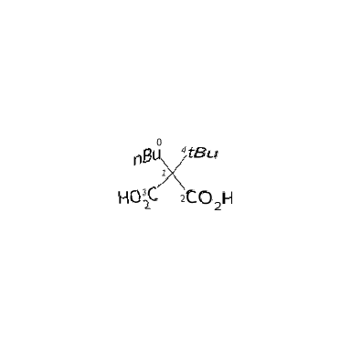 CCCCC(C(=O)O)(C(=O)O)C(C)(C)C